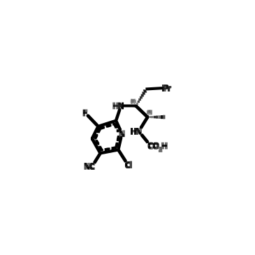 CC(C)C[C@@H](Nc1nc(Cl)c(C#N)cc1F)[C@H](C)NC(=O)O